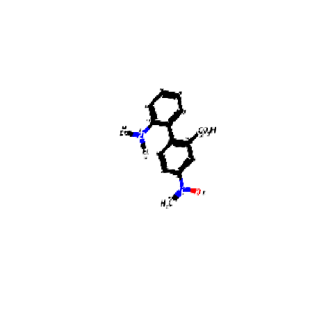 C=[N+]([O-])c1ccc(-c2ccccc2N(CC)CC)c(C(=O)O)c1